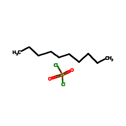 CCCCCCCCCC.O=S(=O)(Cl)Cl